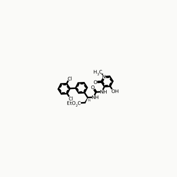 CCOC(=O)C[C@H](NC(=O)Nc1c(O)ccn(C)c1=O)c1cccc(-c2c(Cl)cccc2Cl)c1